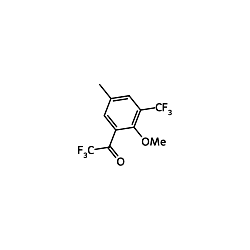 COc1c(C(=O)C(F)(F)F)cc(C)cc1C(F)(F)F